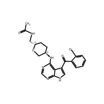 CC(=O)NC[C@@H]1CC[C@@H](Nc2ncnc3[nH]cc(C(=O)c4ccccc4Cl)c23)CO1